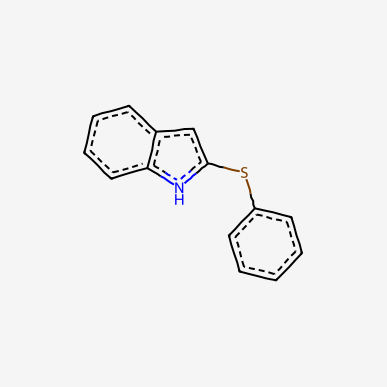 c1ccc(Sc2cc3ccccc3[nH]2)cc1